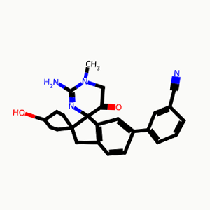 CN1CC(=O)C2(N=C1N)c1cc(-c3cccc(C#N)c3)ccc1CC21CCC(O)CC1